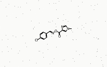 Cn1cnc(C(=O)ON=Cc2ccc(Cl)cc2)c1